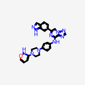 C1=CONC(N2CCN(c3ccc(Nc4nc(-c5ccc6cn[nH]c6c5)cn5ncnc45)cc3)CC2)=C1